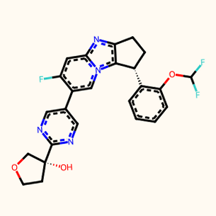 O[C@]1(c2ncc(-c3cn4c5c(nc4cc3F)CC[C@@H]5c3ccccc3OC(F)F)cn2)CCOC1